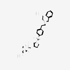 C=CS(=O)(=O)NC[C@H]1CCN(S(=O)(=O)c2ccc(CC(=O)N(CCO)Cc3ccccc3)cc2)C1